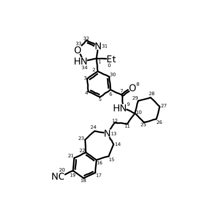 CCC1(c2cccc(C(=O)NC3(CCN4CCc5ccc(C#N)cc5CC4)CCCCC3)c2)N=CON1